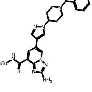 CCC(C)NC(=O)c1cc(-c2cnn(C3CCN(Cc4ccccc4)CC3)c2)cn2nc(N)nc12